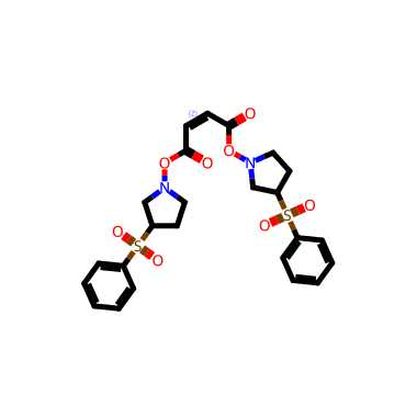 O=C(/C=C\C(=O)ON1CCC(S(=O)(=O)c2ccccc2)C1)ON1CCC(S(=O)(=O)c2ccccc2)C1